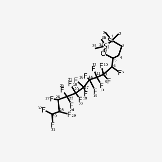 C[Si]1(C)CCC(C(F)C(F)(F)C(F)(F)C(F)(F)C(F)(F)C(F)(F)C(F)(F)C(F)C(F)C(F)F)O[Si]1(C)C